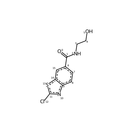 O=C(NCCO)c1ccc2nc(Cl)sc2c1